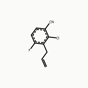 C=CCc1c(F)ccc(C#N)c1Cl